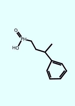 CC(CC[PH](=O)O)c1ccccc1